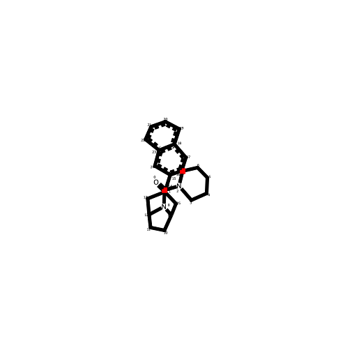 O=C(N1CCCCC1)N1C2CCC1CC(c1ccc3ccccc3c1)C2